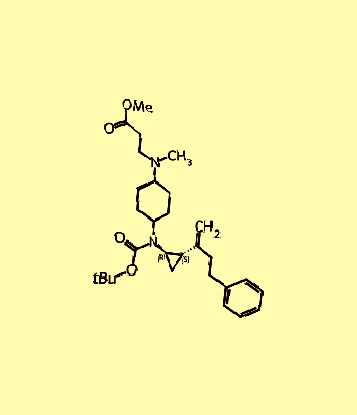 C=C(CCc1ccccc1)[C@@H]1C[C@H]1N(C(=O)OC(C)(C)C)C1CCC(N(C)CCC(=O)OC)CC1